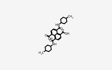 CC1CCC(NC(=O)c2ccc(C(=O)O)c3c(C(=O)NC4CCC(C)CC4)ccc(C(=O)O)c23)CC1